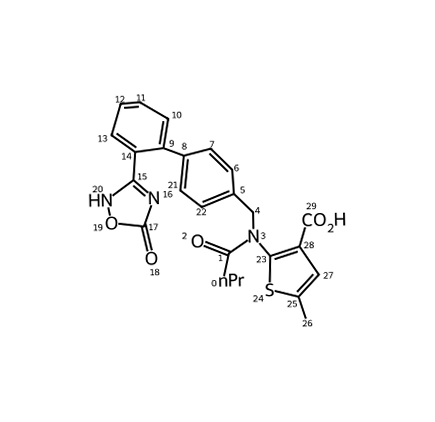 CCCC(=O)N(Cc1ccc(-c2ccccc2-c2nc(=O)o[nH]2)cc1)c1sc(C)cc1C(=O)O